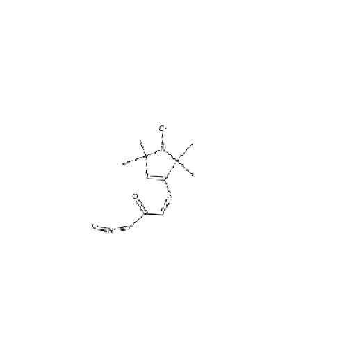 CC1(C)C=C(/C=C\C(=O)C=[N+]=[N-])C(C)(C)N1[O]